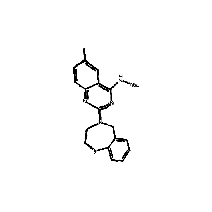 CCCCNc1nc(N2CCSc3ccccc3C2)nc2ccc(C)cc12